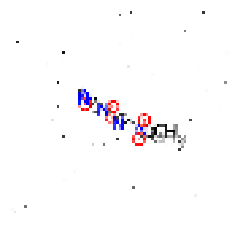 CC1(C)CC(=O)N(CCc2ccc(OC(=O)N3CCC(On4cccn4)CC3)nc2)C(=O)C1